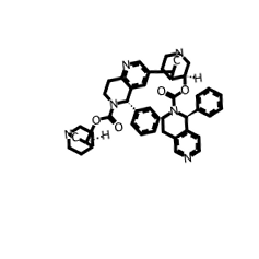 O=C(O[C@@H]1CN2CCC1C(c1cnc3c(c1)[C@H](c1ccccc1)N(C(=O)O[C@@H]1CN4CCC1CC4)CC3)C2)N1CCc2cnccc2[C@@H]1c1ccccc1